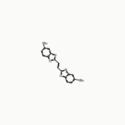 CC(C)(C)c1ccc2oc(C=Cc3nc4cc(C(C)(C)C)ccc4o3)nc2c1